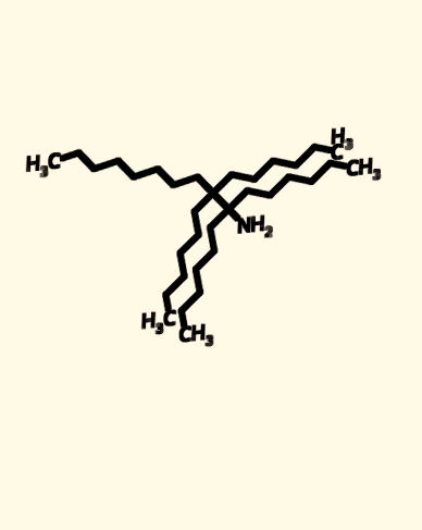 CCCCCCCCC(CCCCCC)(CCCCCC)C(N)(CCCCCC)CCCCCC